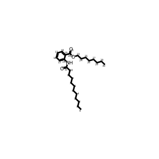 CCCCCCCCCCCC(=O)Nc1ccccc1C(=O)OCCCCCCCC